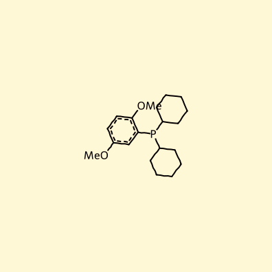 COc1ccc(OC)c(P(C2CCCCC2)C2CCCCC2)c1